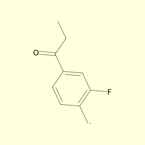 [CH2]c1ccc(C(=O)CC)cc1F